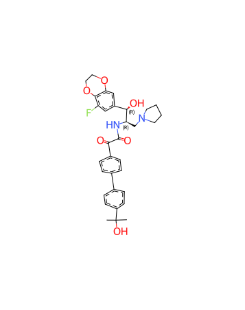 CC(C)(O)c1ccc(-c2ccc(C(=O)C(=O)N[C@H](CN3CCCC3)[C@H](O)c3cc(F)c4c(c3)OCCO4)cc2)cc1